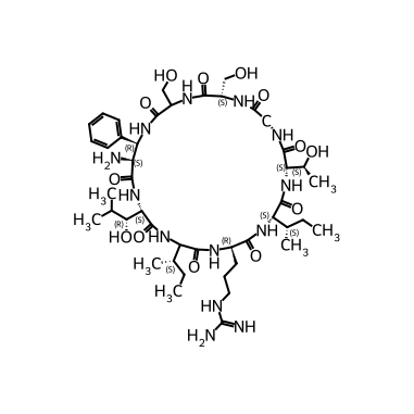 CC[C@H](C)C1NC(=O)[C@H]([C@H](O)C(C)C)NC(=O)[C@@H](N)[C@@H](c2ccccc2)NC(=O)C(CO)NC(=O)[C@H](CO)NC(=O)CNC(=O)[C@H]([C@H](C)O)NC(=O)[C@H]([C@@H](C)CC)NC(=O)[C@@H](CCCNC(=N)N)NC1=O